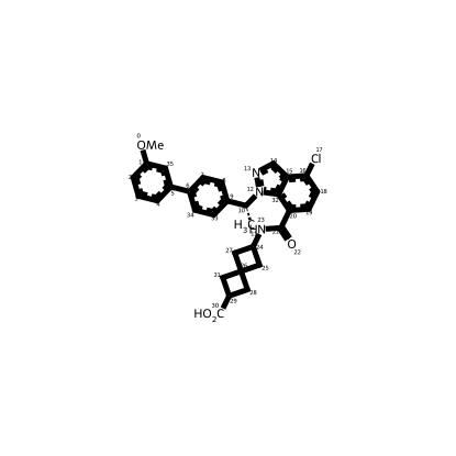 COc1cccc(-c2ccc([C@@H](C)n3ncc4c(Cl)ccc(C(=O)NC5CC6(C5)CC(C(=O)O)C6)c43)cc2)c1